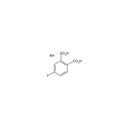 O=C(O)c1ccc(I)cc1S(=O)(=O)O.[KH]